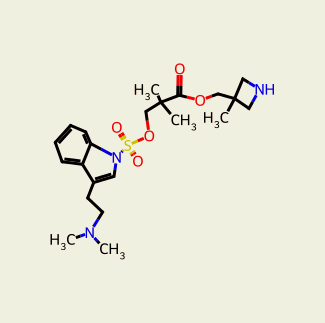 CN(C)CCc1cn(S(=O)(=O)OCC(C)(C)C(=O)OCC2(C)CNC2)c2ccccc12